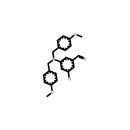 COc1ccc(CN(Cc2ccc(OC)cc2)c2cc(Cl)cc(C=O)c2)cc1